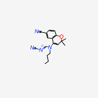 CCCCN(/C=N/C#N)C1=CC(C)(C)Oc2ccc(C#N)cc21